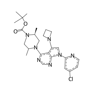 CC1CN(C(=O)OC(C)(C)C)[C@@H](C)CN1c1ncnc2c1c(N1CCC1)cn2-c1cc(Cl)ccn1